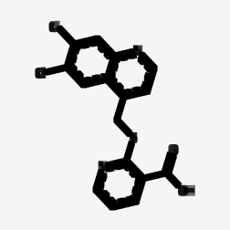 O=C(O)c1cccnc1SCc1ccnc2cc(Cl)c(Cl)cc12